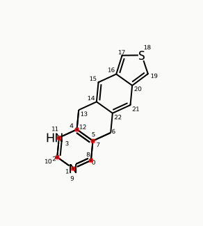 C1=NCNC2=C1C1c3cnccc3C2c2cc3cscc3cc21